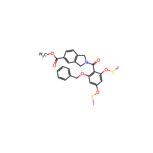 COC(=O)c1ccc2c(c1)CN(C(=O)c1c(OCc3ccccc3)cc(OSI)cc1OSI)C2